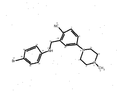 CN1CCN(c2ccc(C#N)c(CNc3ccc(Br)cc3)c2)CC1